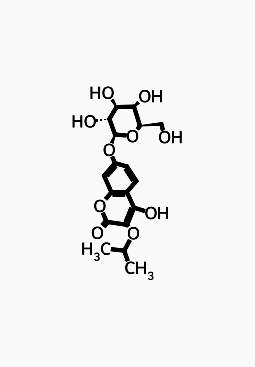 CC(C)Oc1c(O)c2ccc(O[C@@H]3O[C@H](CO)[C@H](O)[C@H](O)[C@H]3O)cc2oc1=O